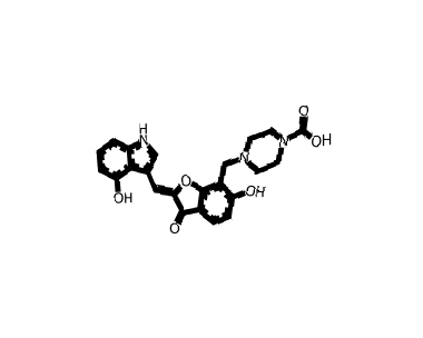 O=C1/C(=C/c2c[nH]c3cccc(O)c23)Oc2c1ccc(O)c2CN1CCN(C(=O)O)CC1